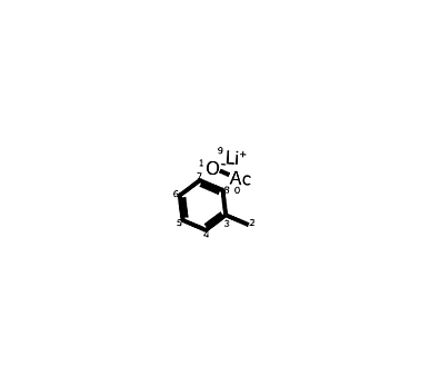 CC(=O)[O-].Cc1ccccc1.[Li+]